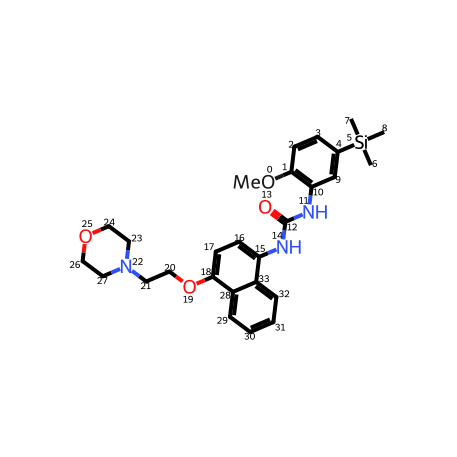 COc1ccc([Si](C)(C)C)cc1NC(=O)Nc1ccc(OCCN2CCOCC2)c2ccccc12